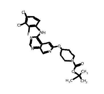 CC(C)(C)OC(=O)N1CCC(Oc2cc3c(Nc4ccc(Cl)c(Cl)c4F)ncnc3cn2)CC1